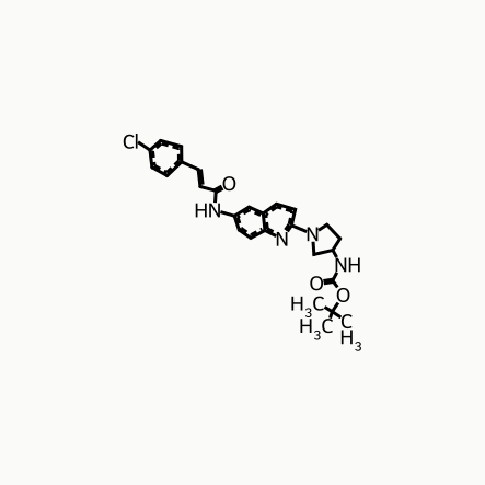 CC(C)(C)OC(=O)NC1CCN(c2ccc3cc(NC(=O)/C=C/c4ccc(Cl)cc4)ccc3n2)C1